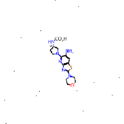 Nc1cc2sc(N3CCOCC3)nc2nc1N1CC[C@H](NC(=O)O)C1